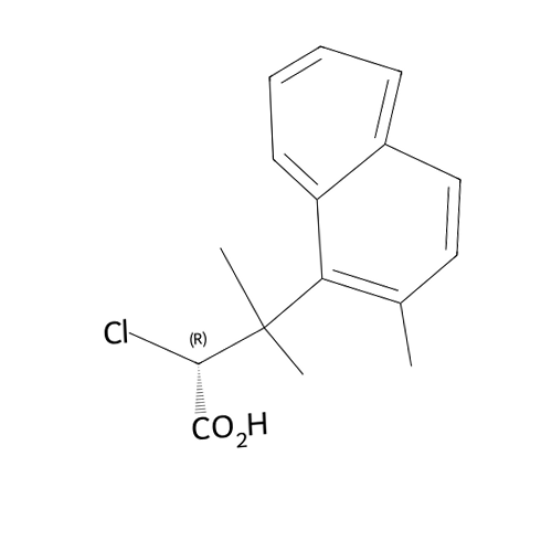 Cc1ccc2ccccc2c1C(C)(C)[C@@H](Cl)C(=O)O